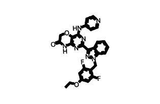 CCOc1cc(F)c(Cn2nc(-c3nc4c(c(Nc5ccncc5)n3)OCC(=O)N4)c3ccccc32)c(F)c1